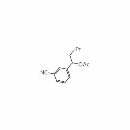 CC(=O)OC(CC(C)C)c1cccc(C#N)c1